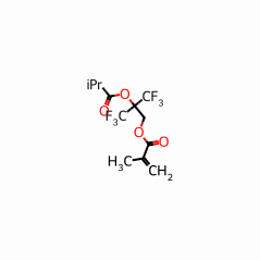 C=C(C)C(=O)OCC(OC(=O)C(C)C)(C(F)(F)F)C(F)(F)F